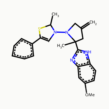 C=C1CN(N2[C]=C(c3ccccc3)SC2C)C(C)(c2nc3cc(OC)ccc3[nH]2)C1